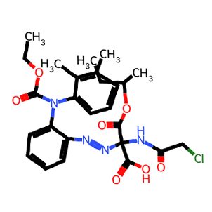 CCOC(=O)N(c1ccccc1N=NC(NC(=O)CCl)(C(=O)O)C(=O)OC(C)CC)c1cccc(C)c1C